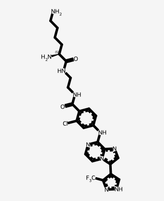 NCCCC[C@H](N)C(=O)NCCNC(=O)c1ccc(Nc2nccn3c(-c4c[nH]nc4C(F)(F)F)cnc23)cc1Cl